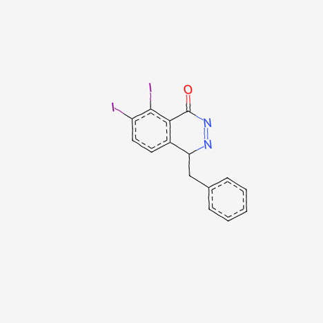 O=C1N=NC(Cc2ccccc2)c2ccc(I)c(I)c21